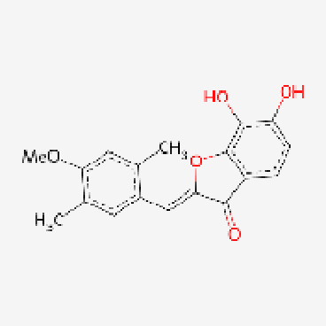 COc1cc(C)c(/C=C2\Oc3c(ccc(O)c3O)C2=O)cc1C